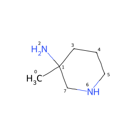 CC1(N)CCCNC1